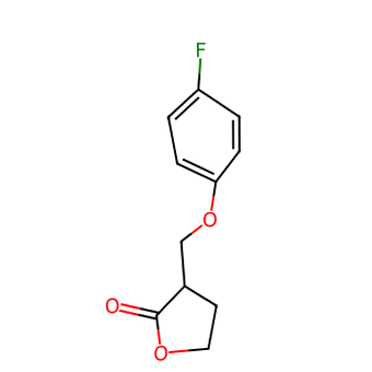 O=C1OCCC1COc1ccc(F)cc1